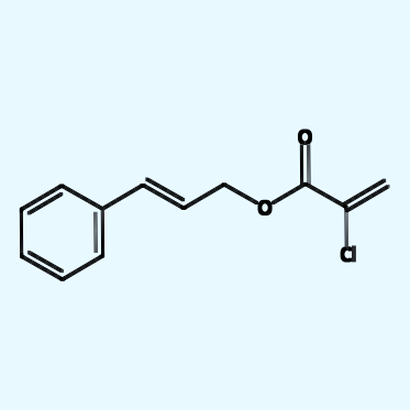 C=C(Cl)C(=O)OCC=Cc1ccccc1